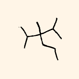 [CH2]C(C)C(C)(CCC)C(C)C